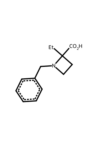 CCC1(C(=O)O)CCN1Cc1ccccc1